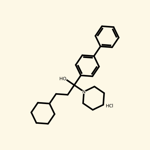 Cl.OC(CCC1CCCCC1)(c1ccc(-c2ccccc2)cc1)N1CCCCC1